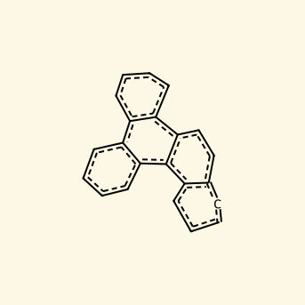 c1ccc2c(c1)ccc1c3ccccc3c3ccccc3c21